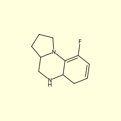 FC1=C2C(CC=C1)NCC1CCCN21